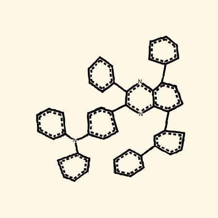 c1ccc(-c2cccc(-c3ccc(-c4ccccc4)c4nc(-c5ccccc5)c(-c5ccc(N(c6ccccc6)c6ccccc6)cc5)nc34)c2)cc1